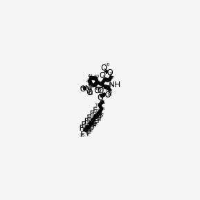 COC(=O)OC1=C(C)NC(C)=C(OC(=O)OCCCC(F)(F)C(F)(F)C(F)(F)C(F)(F)C(F)(F)C(F)(F)F)C1c1cccc([N+](=O)[O-])c1Cl